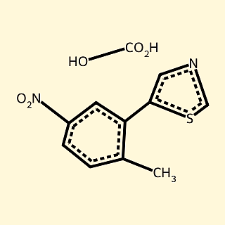 Cc1ccc([N+](=O)[O-])cc1-c1cncs1.O=C(O)O